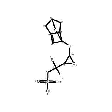 O=S(=O)(O)CC(F)(F)C1OC1OC12C=C3CC(CC31)C2